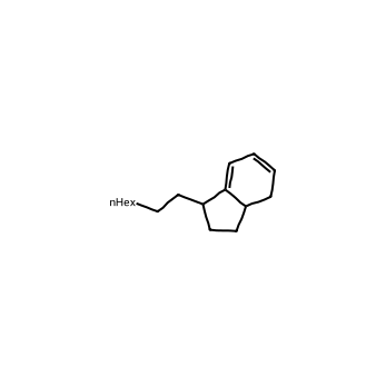 CCCCCCCCC1CCC2CC=CC=C21